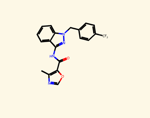 Cc1ncoc1C(=O)Nc1nn(Cc2ccc(C(F)(F)F)cc2)c2ccccc12